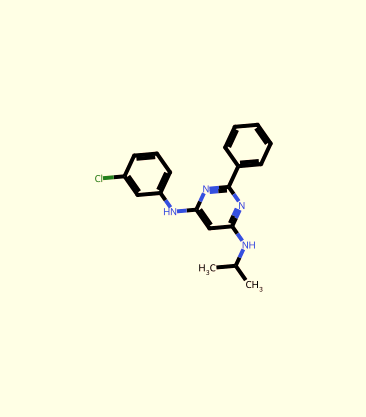 CC(C)Nc1cc(Nc2cccc(Cl)c2)nc(-c2ccccc2)n1